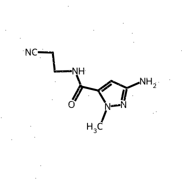 Cn1nc(N)cc1C(=O)NCCC#N